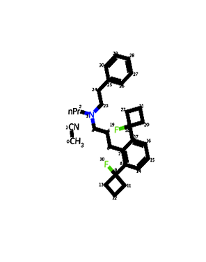 CC#N.CCCN(CCCc1c(C2(F)CCC2)cccc1C1(F)CCC1)CCc1ccccc1